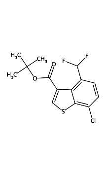 CC(C)(C)OC(=O)c1csc2c(Cl)ccc(C(F)F)c12